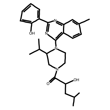 Cc1ccc2c(N3CCN(C(=O)C(O)CC(C)C)CC3C(C)C)nc(-c3ccccc3O)nc2c1